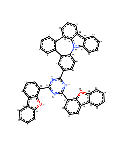 c1ccc2c(c1)-c1cc(-c3nc(-c4cccc5c4oc4ccccc45)nc(-c4cccc5c4oc4ccccc45)n3)ccc1-n1c3ccccc3c3cccc-2c31